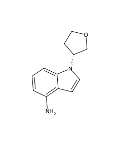 Nc1cccc2c1ccn2[C@@H]1CCOC1